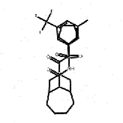 CC1=CC(S(=O)(=O)NC(=O)C2C3CCCCC2CN(C(=O)CC2CCCC2)C3)CC(C(F)(F)F)=C1